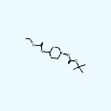 CCOC(=O)OC1CCC(OC(=O)OC(C)(C)C)CC1